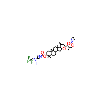 C=C1CC(C(OC(=O)N2CCC2)C(C)C)OC2CC3C4CCC5C(C)(C)C(OC(=O)N6CC(NCC(F)(F)F)C6)CCC56CC46CCC3(C)C12